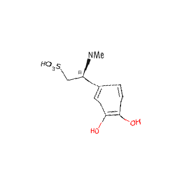 CN[C@H](CS(=O)(=O)O)c1ccc(O)c(O)c1